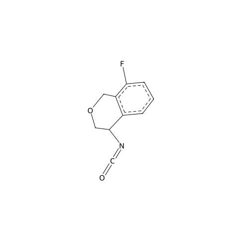 O=C=NC1COCc2c(F)cccc21